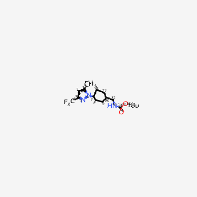 Cc1cc(C(F)(F)F)nn1C1CCC(CNC(=O)OC(C)(C)C)CC1